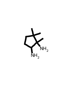 CC1(C)CCC(N)C1(C)N